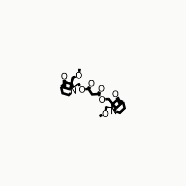 COC[C@@]1(COC(=O)CC(=O)OC[C@]2(COC)C(=O)C3CCN2CC3)C(=O)C2CCN1CC2